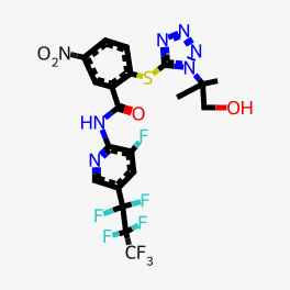 CC(C)(CO)n1nnnc1Sc1ccc([N+](=O)[O-])cc1C(=O)Nc1ncc(C(F)(F)C(F)(F)C(F)(F)F)cc1F